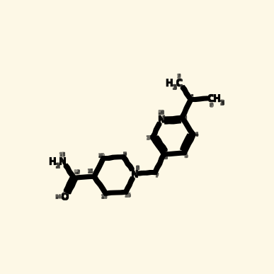 CC(C)c1ccc(CN2CCC(C(N)=O)CC2)cn1